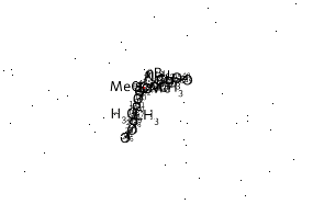 CCCCNCCC[Si](OC)(OC)OC(COc1ccc(C(C)(C)c2ccc(OCC3CO3)cc2)cc1)COc1ccc(C(C)(C)c2ccc(OCC3CO3)cc2)cc1